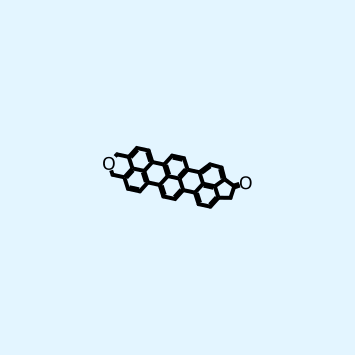 O=C1Cc2ccc3c4ccc5c6ccc7c8c(ccc(c9ccc(c%10ccc1c2c3%10)c4c59)c86)COC7